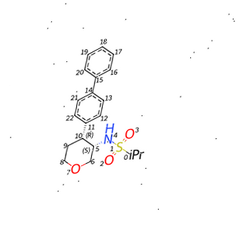 CC(C)S(=O)(=O)N[C@@H]1COCC[C@@H]1c1ccc(-c2ccccc2)cc1